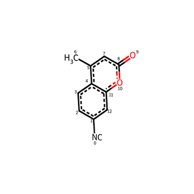 [C-]#[N+]c1ccc2c(C)cc(=O)oc2c1